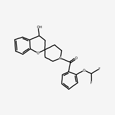 O=C(c1ccccc1OC(F)F)N1CCC2(CC1)CC(O)c1ccccc1O2